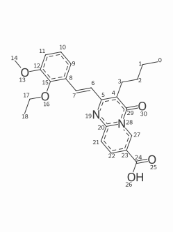 CCCCc1c(C=Cc2cccc(OC)c2OCC)nc2ccc(C(=O)O)cn2c1=O